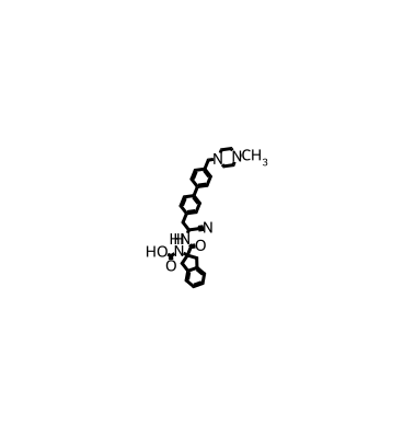 CN1CCN(Cc2ccc(-c3ccc(CC(C#N)NC(=O)C4(NC(=O)O)Cc5ccccc5C4)cc3)cc2)CC1